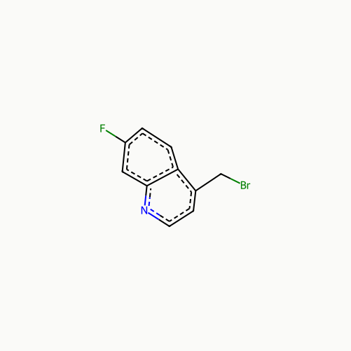 Fc1ccc2c(CBr)ccnc2c1